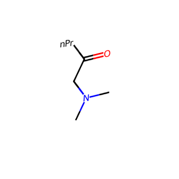 CCCC(=O)CN(C)C